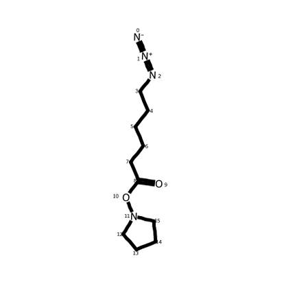 [N-]=[N+]=NCCCCCC(=O)ON1CCCC1